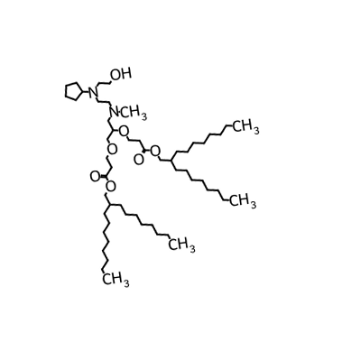 CCCCCCCCC(CCCCCCCC)COC(=O)CCOCC(CN(C)CCN(CCO)C1CCCC1)OCCC(=O)OCC(CCCCCCCC)CCCCCCCC